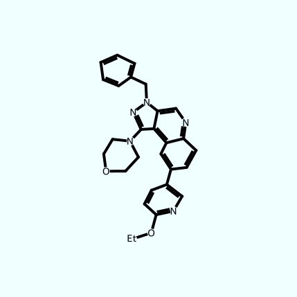 CCOc1ccc(-c2ccc3ncc4c(c(N5CCOCC5)nn4Cc4ccccc4)c3c2)cn1